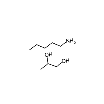 CC(O)CO.CCCCCN